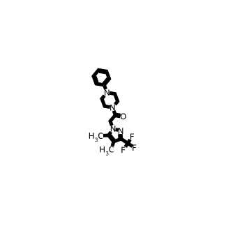 Cc1c(C(F)(F)F)nn(CC(=O)N2CCN(c3ccccc3)CC2)c1C